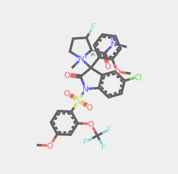 CNC(=O)[C@@H]1C(F)CC[N+]1(C)C1(c2ccccc2OC)C(=O)N(S(=O)(=O)c2ccc(OC)cc2OC(F)(F)F)c2ccc(Cl)cc21